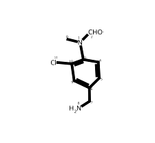 CN([C]=O)c1ccc(CN)cc1Cl